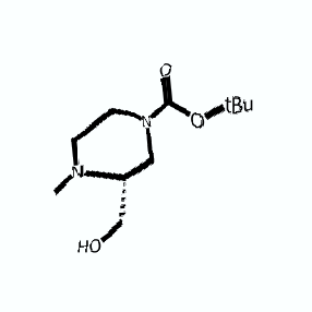 CN1CCN(C(=O)OC(C)(C)C)C[C@@H]1CO